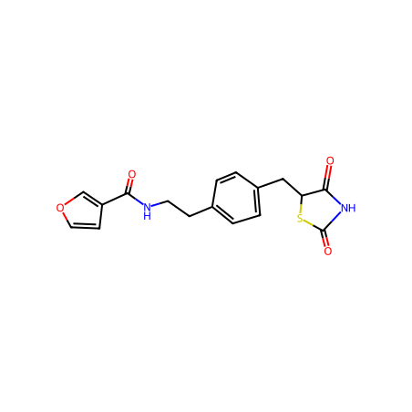 O=C1NC(=O)C(Cc2ccc(CCNC(=O)c3ccoc3)cc2)S1